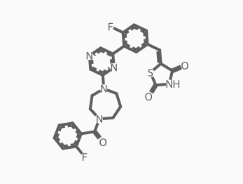 O=C1NC(=O)C(=Cc2ccc(F)c(-c3cncc(N4CCCN(C(=O)c5ccccc5F)CC4)n3)c2)S1